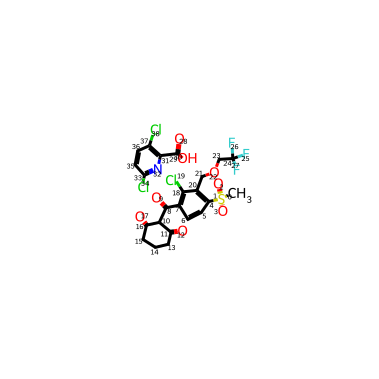 CS(=O)(=O)c1ccc(C(=O)C2C(=O)CCCC2=O)c(Cl)c1COCC(F)(F)F.O=C(O)c1nc(Cl)ccc1Cl